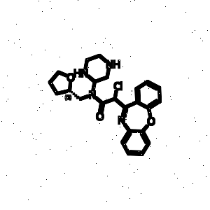 O=C(C(Cl)C1=Nc2ccccc2Oc2ccccc21)N(C[C@@H]1CCCO1)C1CNCCN1